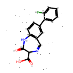 O=C(O)C1N=Cc2cc(-c3ccccc3F)ccc2NC1=O